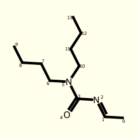 CC=NC(=O)N(CCCC)CCCC